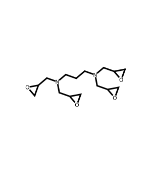 C(CN(CC1CO1)CC1CO1)CN(CC1CO1)CC1CO1